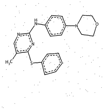 Cc1cnc(Nc2ccc(N3CCOCC3)cc2)nc1Sc1cc[c]cc1